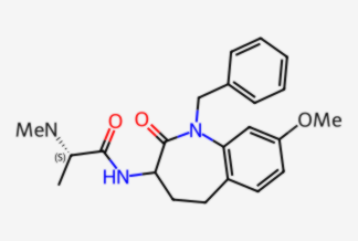 CN[C@@H](C)C(=O)NC1CCc2ccc(OC)cc2N(Cc2ccccc2)C1=O